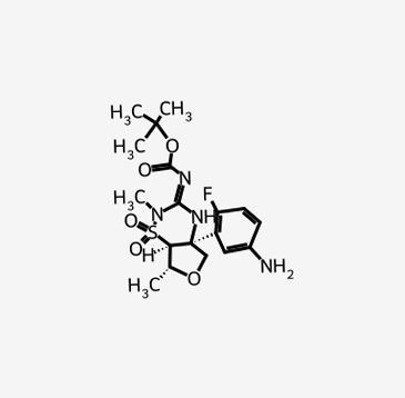 C[C@H]1OC[C@]2(c3cc(N)ccc3F)N/C(=N/C(=O)OC(C)(C)C)N(C)S(=O)(=O)[C@H]12